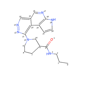 CCCNC(=O)C1CCCN(c2nncc3cnc4[nH]ccc4c23)C1